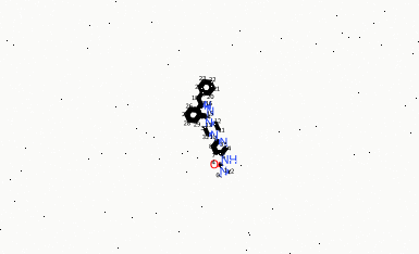 CN(C)C(=O)Nc1ccc(N2CCN(c3nnc(Cc4ccccc4)c4ccccc34)CC2)nc1